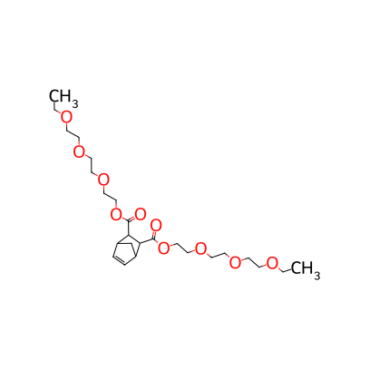 CCOCCOCCOCCOC(=O)C1C2C=CC(C2)C1C(=O)OCCOCCOCCOCC